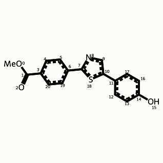 COC(=O)c1ccc(-c2ncc(-c3ccc(O)cc3)s2)cc1